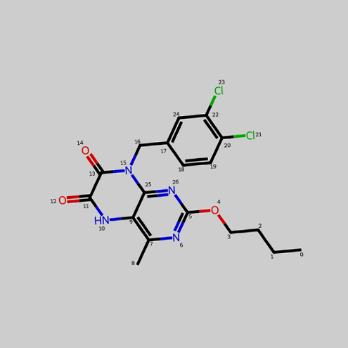 CCCCOc1nc(C)c2[nH]c(=O)c(=O)n(Cc3ccc(Cl)c(Cl)c3)c2n1